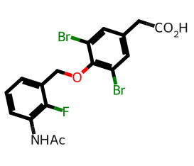 CC(=O)Nc1cccc(COc2c(Br)cc(CC(=O)O)cc2Br)c1F